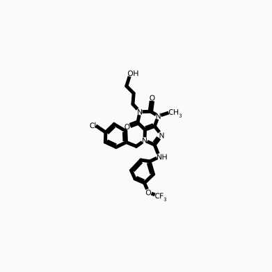 Cn1c(=O)n(CCCO)c(=O)c2c1nc(Nc1cccc(OC(F)(F)F)c1)n2Cc1ccc(Cl)cc1